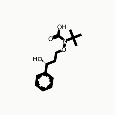 CC(C)(C)N(OCC[C@@H](O)c1ccccc1)C(=O)O